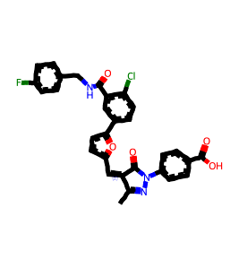 CC1=NN(c2ccc(C(=O)O)cc2)C(=O)/C1=C\c1ccc(-c2ccc(Cl)c(C(=O)NCc3ccc(F)cc3)c2)o1